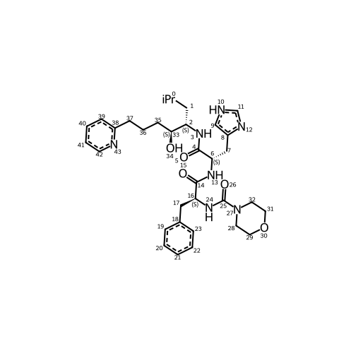 CC(C)C[C@H](NC(=O)[C@H](Cc1c[nH]cn1)NC(=O)[C@H](Cc1ccccc1)NC(=O)N1CCOCC1)[C@@H](O)CCCc1ccccn1